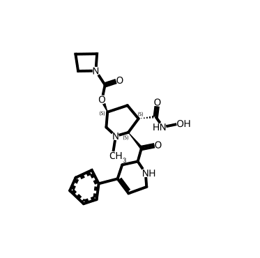 CN1C[C@@H](OC(=O)N2CCC2)C[C@H](C(=O)NO)[C@H]1C(=O)C1CC(c2ccccc2)=CCN1